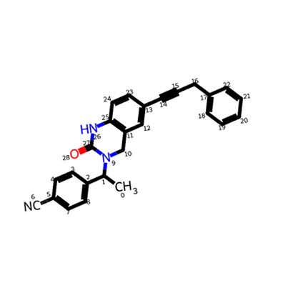 CC(c1ccc(C#N)cc1)N1Cc2cc(C#CCc3ccccc3)ccc2NC1=O